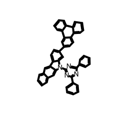 c1ccc(-c2nc(-c3ccccc3)nc(-n3c4cc(-c5ccc6c7ccccc7c7ccccc7c6c5)ccc4c4cc5ccccc5cc43)n2)cc1